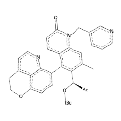 CC(=O)[C@@H](OC(C)(C)C)c1c(C)cc2c(ccc(=O)n2Cc2cccnc2)c1-c1ccc2c3c(ccnc13)CCO2